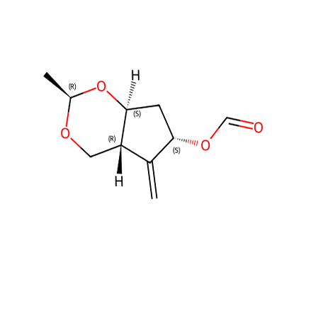 C=C1[C@@H](OC=O)C[C@@H]2O[C@H](C)OC[C@@H]12